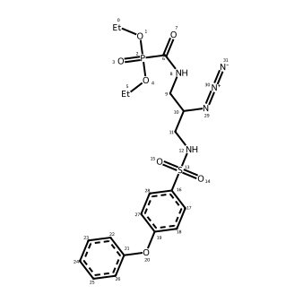 CCOP(=O)(OCC)C(=O)NCC(CNS(=O)(=O)c1ccc(Oc2ccccc2)cc1)N=[N+]=[N-]